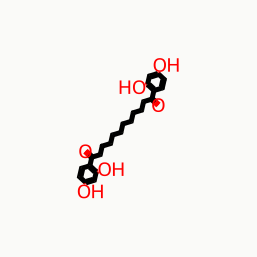 O=C(CCCCCCCCCCC(=O)c1ccc(O)cc1O)c1ccc(O)cc1O